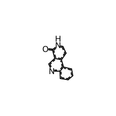 O=c1[nH]ccc2c1cnc1ccccc12